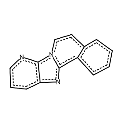 c1ccc2c(c1)ccn1c3ncccc3nc21